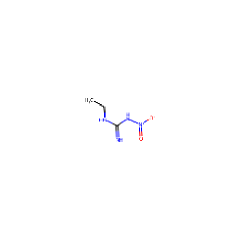 CCNC(=N)N[N+](=O)[O-]